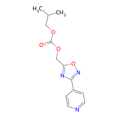 CC(C)COC(=O)OCc1nc(-c2ccncc2)no1